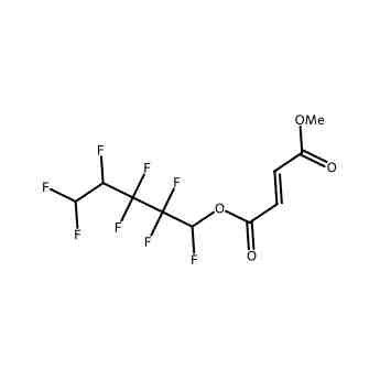 COC(=O)C=CC(=O)OC(F)C(F)(F)C(F)(F)C(F)C(F)F